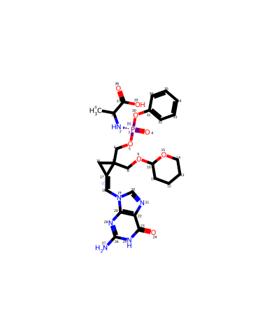 CC(N[P@](=O)(OCC1(COC2CCCCO2)C/C1=C/n1cnc2c(=O)[nH]c(N)nc21)Oc1ccccc1)C(=O)O